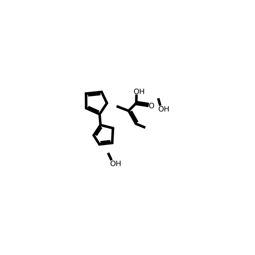 C1=CCC(C2=CC=CC2)=C1.CC=C(C)C(=O)O.CO.CO